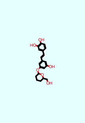 OCC1CCCC(Oc2cc(O)cc(C=Cc3ccc(O)c(O)c3)c2)O1